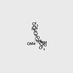 COC[C@H](CC(=O)N1CCN(c2ncc(C(F)(F)F)cn2)CC1)NCc1cc(C(F)(F)F)c(=O)[nH]n1